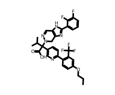 CCCOc1ccc(-c2ccc(C(C(=O)O)(C(C)C)N3Cc4nc(-c5cccc(F)c5F)[nH]c4C=N3)cn2)c(C(F)(F)F)c1